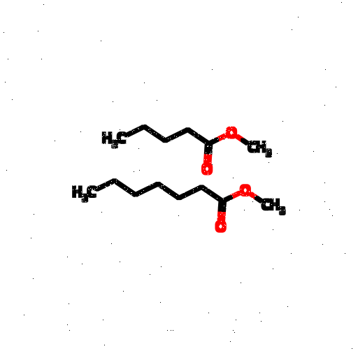 CCCCC(=O)OC.CCCCCCC(=O)OC